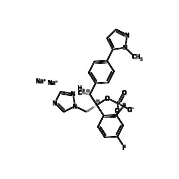 C[C@H](c1ccc(-c2ccnn2C)cc1)[C@@](Cn1cncn1)(OP(=O)([O-])[O-])c1ccc(F)cc1F.[Na+].[Na+]